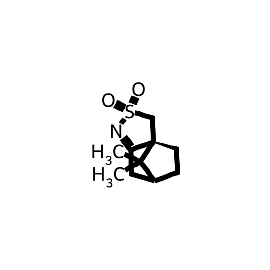 CC1(C)C2CC[C@@]13CS(=O)(=O)N=C3C2